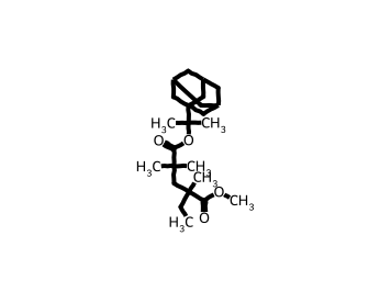 CCC(C)(CC(C)(C)C(=O)OC(C)(C)C12CC3CC(CC(C3)C1)C2)C(=O)OC